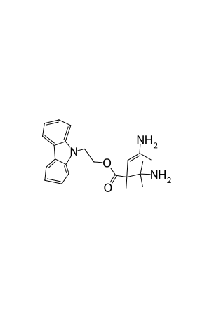 C/C(N)=C\C(C)(C(=O)OCCn1c2ccccc2c2ccccc21)C(C)(C)N